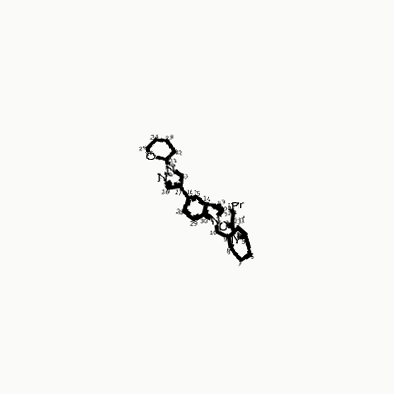 CC(C)CC(=O)N1C2CCC1C(Cn1ccc3cc(-c4cnn(C5CCCCO5)c4)ccc31)C2